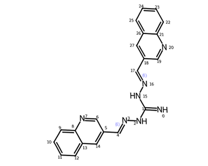 N=C(N/N=C/c1cnc2ccccc2c1)N/N=C/c1cnc2ccccc2c1